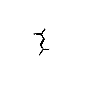 CC(=N)/C=C/N(C)F